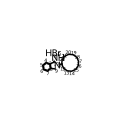 Br.N=C1c2ccccc2CN1C1CCCCCCCCCCC1